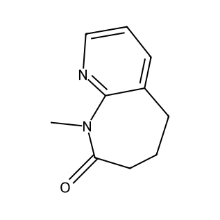 CN1C(=O)CCCc2cccnc21